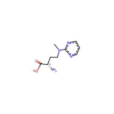 CN(CC[C@H](N)C(=O)O)c1ncccn1